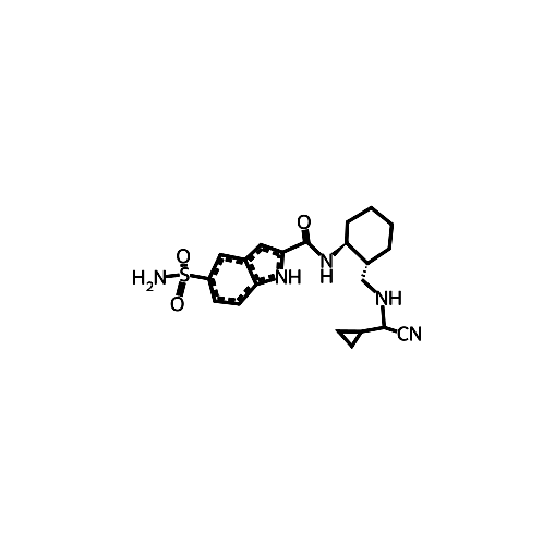 N#CC(NC[C@H]1CCCC[C@@H]1NC(=O)c1cc2cc(S(N)(=O)=O)ccc2[nH]1)C1CC1